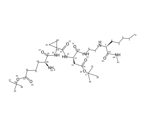 CCCCC[C@H](NCCNC(=O)[C@@H](CC(=O)OC(C)(C)C)NC(=O)C1(NC(=O)[C@@H](N)CCCC(=O)OC(C)(C)C)CC1)C(=O)NC